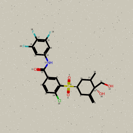 C=C1C[C@@H](S(=O)(=O)c2cc(C(=O)Nc3cc(F)c(F)c(F)c3)ccc2Cl)CC(C)[C@@]1(O)CO